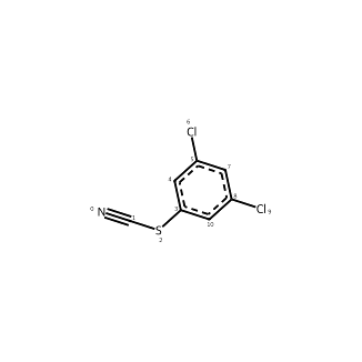 N#CSc1cc(Cl)cc(Cl)c1